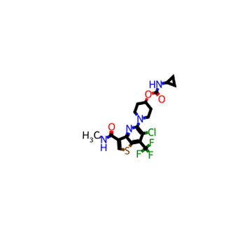 CNC(=O)c1csc2c(C(F)(F)F)c(Cl)c(N3CCC(OC(=O)NC4CC4)CC3)nc12